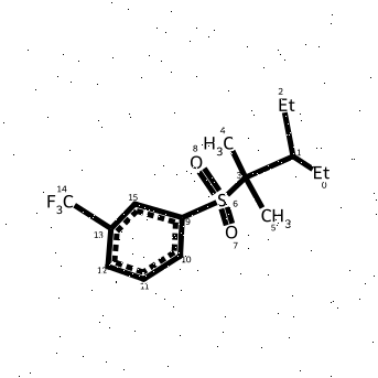 CCC(CC)C(C)(C)S(=O)(=O)c1cccc(C(F)(F)F)c1